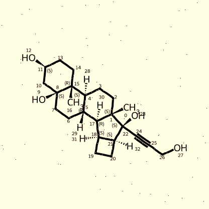 C[C@]12CC[C@H]3[C@@H](CC[C@]4(O)C[C@@H](O)CC[C@]34C)[C@@H]1[C@@H]1CC[C@@H]1[C@@]2(O)C#CCO